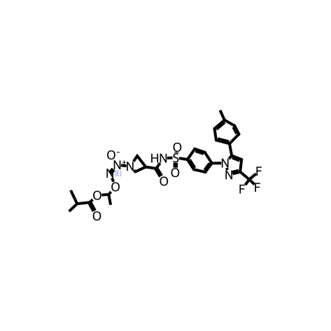 Cc1ccc(-c2cc(C(F)(F)F)nn2-c2ccc(S(=O)(=O)NC(=O)C3CN(/[N+]([O-])=N\OC(C)OC(=O)C(C)C)C3)cc2)cc1